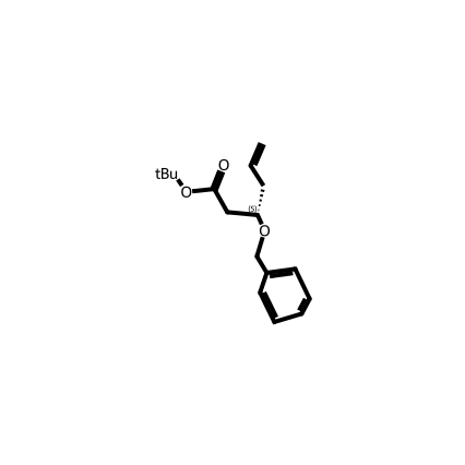 C=CC[C@@H](CC(=O)OC(C)(C)C)OCc1ccccc1